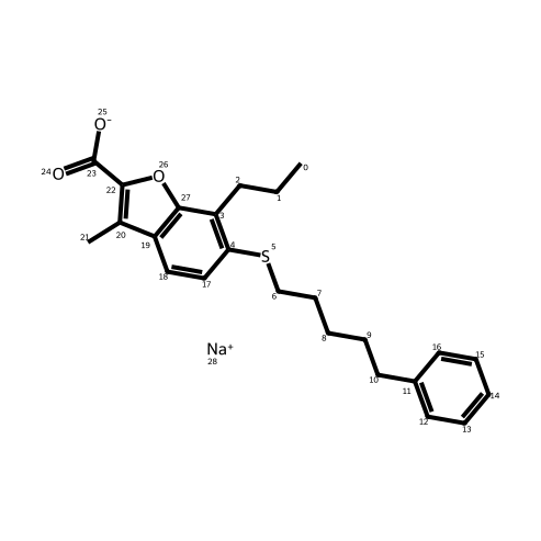 CCCc1c(SCCCCCc2ccccc2)ccc2c(C)c(C(=O)[O-])oc12.[Na+]